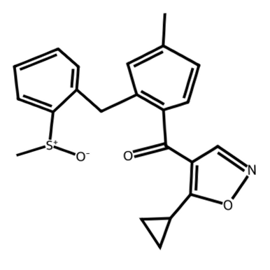 Cc1ccc(C(=O)c2cnoc2C2CC2)c(Cc2ccccc2[S+](C)[O-])c1